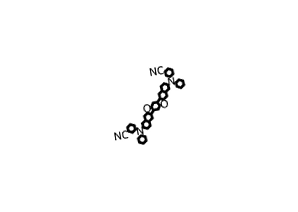 N#Cc1cccc(N(c2ccccc2)c2ccc3cc4c(cc3c2)oc2cc3c(cc24)oc2cc4cc(N(c5ccccc5)c5cccc(C#N)c5)ccc4cc23)c1